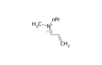 C=C/C=[N+](/C)CCC